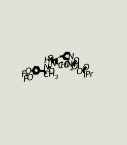 CC(C)C(=O)OCOC(=O)Nc1cc(C[C@H]2C(=O)N(C(=O)NC(C)c3ccc4c(c3)OC(F)(F)O4)[C@@H]2C(=O)O)ccn1